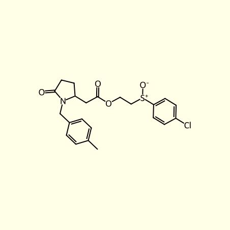 Cc1ccc(CN2C(=O)CCC2CC(=O)OCC[S+]([O-])c2ccc(Cl)cc2)cc1